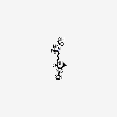 O=C(CO)N/N=C(/CCCCNC(=O)c1nc(-c2nccs2)sc1C1CC1)C(F)(F)F